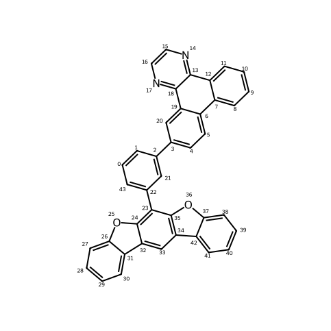 c1cc(-c2ccc3c4ccccc4c4nccnc4c3c2)cc(-c2c3oc4ccccc4c3cc3c2oc2ccccc23)c1